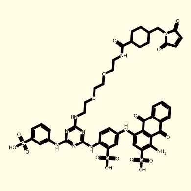 Nc1c(S(=O)(=O)O)cc(Nc2ccc(Nc3nc(NCCOCCOCCNC(=O)C4CCC(CN5C(=O)C=CC5=O)CC4)nc(Nc4cccc(S(=O)(=O)O)c4)n3)c(S(=O)(=O)O)c2)c2c1C(=O)c1ccccc1C2=O